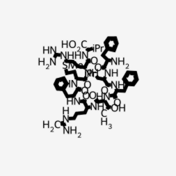 C=C(N)NCCCC(NC(=O)C(NC(=O)C(Cc1ccccc1)NC(=O)C(CC(C)C)NC(=O)C(N)Cc1ccccc1)C(C)O)C(=O)NC(Cc1ccccc1)C(=O)NC(CCSC)C(=O)NC(CCCNC(=N)N)C(=O)NC(C(=O)O)C(C)C